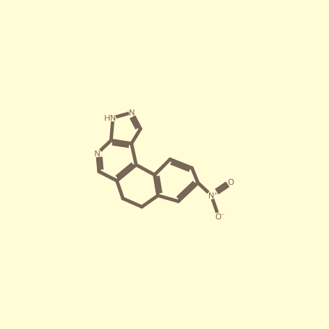 O=[N+]([O-])c1ccc2c(c1)CCc1cnc3[nH]ncc3c1-2